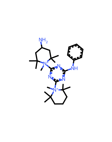 CC1(C)CCCC(C)(C)[N+]1(C)c1nc(Nc2ccccc2)nc([N+]2(C)C(C)(C)CC(N)CC2(C)C)n1